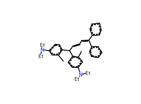 CCN(CC)c1ccc(C(/C=C/C=C(c2ccccc2)c2ccccc2)c2ccc(N(CC)CC)cc2C)c(C)c1